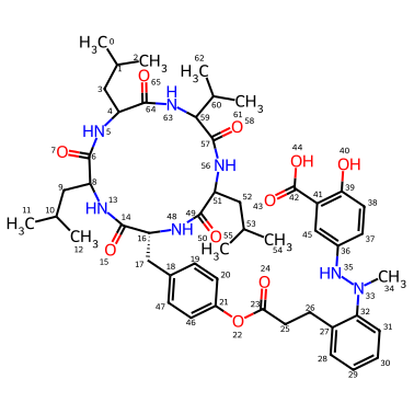 CC(C)CC1NC(=O)C(CC(C)C)NC(=O)[C@@H](Cc2ccc(OC(=O)CCc3ccccc3N(C)Nc3ccc(O)c(C(=O)O)c3)cc2)NC(=O)C(CC(C)C)NC(=O)C(C(C)C)NC1=O